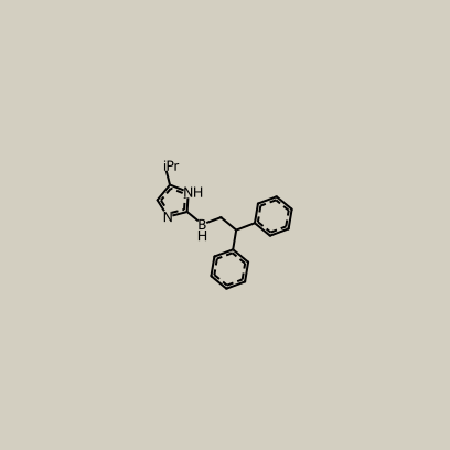 CC(C)c1cnc(BCC(c2ccccc2)c2ccccc2)[nH]1